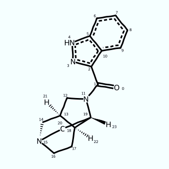 O=C(c1n[nH]c2ccccc12)N1C[C@@H]2C[N@@]3CC[C@@H]2[C@@H]1C3